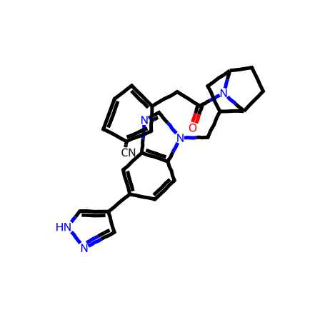 N#Cc1cccc(CC(=O)N2C3CCC2C(Cn2cnc4cc(-c5cn[nH]c5)ccc42)C3)c1